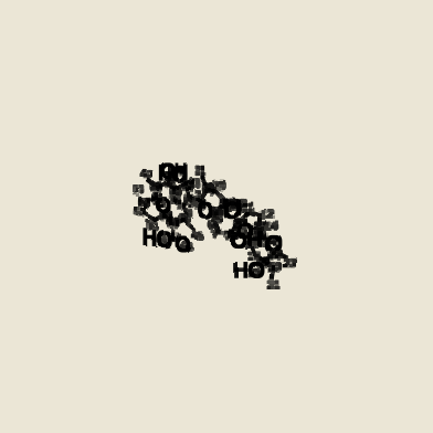 CC[C@H]([C@H]1O[C@]2(C=C[C@@H](O)[C@]3(CC[C@@](C)([C@H]4CC[C@](O)(CC)[C@H](C)O4)O3)O2)[C@H](C)C[C@@H]1C)[C@@](C)(O)[C@@H](C)[C@@H](O)[C@H](C)[C@@H]1O[C@@H]([C@@H](CC)C(=O)O)CC[C@@H]1C